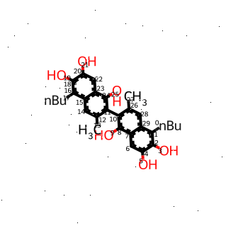 CCCCc1c(O)c(O)cc2c(O)c(-c3c(C)cc4c(CCCC)c(O)c(O)cc4c3O)c(C)cc12